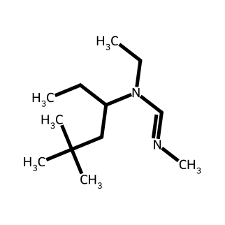 CCC(CC(C)(C)C)N(/C=N/C)CC